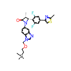 Cc1nc(-c2cc(F)c([C@H]3[C@@H](C)C(=O)N3c3ccc4c(c3)ncn4COCC[Si](C)(C)C)c(F)c2)cs1